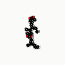 c1ccc(-c2cccc(-c3nc(-c4ccc(-c5cccc6c5Oc5ccccc5C65c6ccccc6-c6ccccc65)cc4)nc(-c4cc(-c5ccccc5)cc(-c5cccc6c5-c5ccccc5C65c6ccccc6Oc6c(-c7ccc(-c8nc(-c9ccccc9)nc(-c9ccc%10c(ccc%11ccccc%11%10)c9)n8)cc7)cccc65)c4)n3)c2)cc1